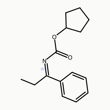 CC/C(=N/C(=O)OC1CCCC1)c1ccccc1